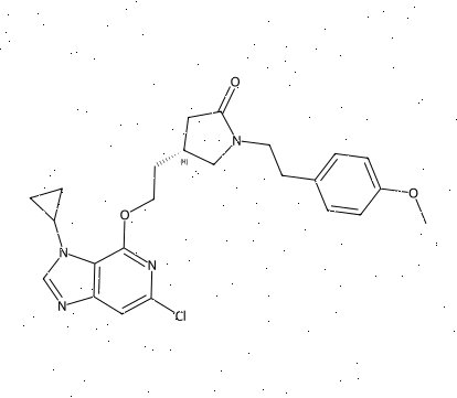 COc1ccc(CCN2C[C@H](CCOc3nc(Cl)cc4ncn(C5CC5)c34)CC2=O)cc1